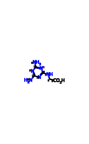 Nc1nc(N)nc(NCC(=O)O)n1